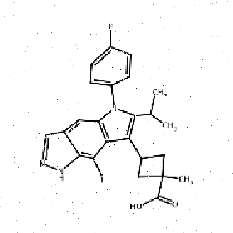 CC(C)c1c(C2CC(C)(C(=O)O)C2)c2c(F)c3[nH]ncc3cc2n1-c1ccc(F)cc1